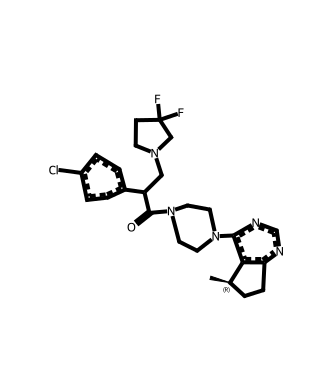 C[C@@H]1CCc2ncnc(N3CCN(C(=O)C(CN4CCC(F)(F)C4)c4ccc(Cl)cc4)CC3)c21